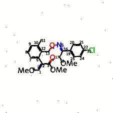 CO/C=C(/C(=O)OC)c1cccc(C)c1CO/N=C(\COC)c1ccc(Cl)cc1